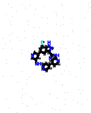 Nc1cncc(-c2cc(F)c3[nH]nc(-c4nc5c(-c6ccncc6)ccnc5[nH]4)c3c2)c1